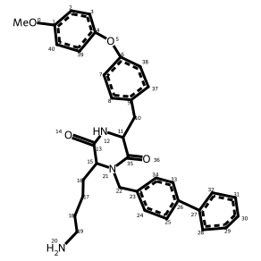 COc1ccc(Oc2ccc(CC3NC(=O)C(CCCCN)N(Cc4ccc(-c5ccccc5)cc4)C3=O)cc2)cc1